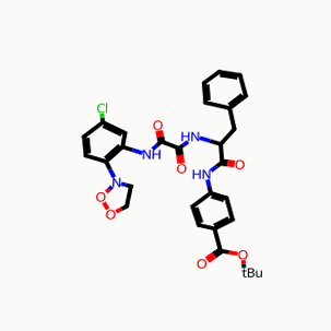 CC(C)(C)OC(=O)c1ccc(NC(=O)C(Cc2ccccc2)NC(=O)C(=O)Nc2cc(Cl)ccc2N2CCOO2)cc1